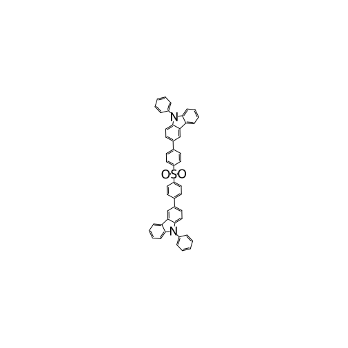 O=S(=O)(c1ccc(-c2ccc3c(c2)c2ccccc2n3-c2ccccc2)cc1)c1ccc(-c2ccc3c(c2)c2ccccc2n3-c2ccccc2)cc1